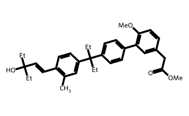 CCC(O)(C=Cc1ccc(C(CC)(CC)c2ccc(-c3cc(CC(=O)OC)ccc3OC)cc2)cc1C)CC